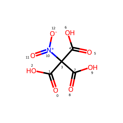 O=C(O)C(C(=O)O)(C(=O)O)[N+](=O)[O-]